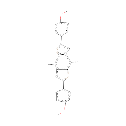 COc1ccc(-c2cc3c(C)c4sc(-c5ccc(OC)cc5)cc4c(C)c3s2)cc1